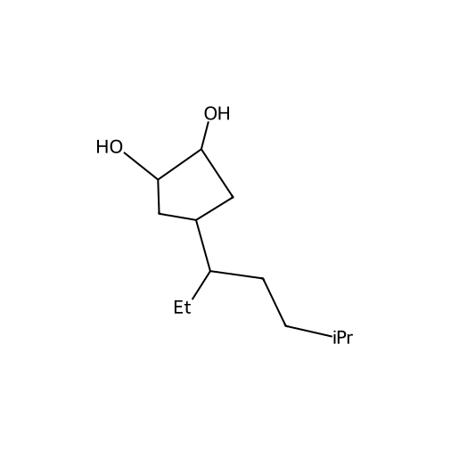 CCC(CCC(C)C)C1CC(O)C(O)C1